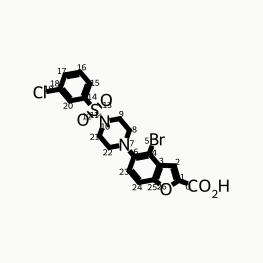 O=C(O)c1cc2c(Br)c(N3CCN(S(=O)(=O)c4cccc(Cl)c4)CC3)ccc2o1